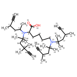 C#CC(C)CC(C)N(C(CCCCN(C(C)(C)CC(C)C#C)C(C)(C)CC(C)C#C)C(=O)O)C(C)(C)CC(C)(C)C#C